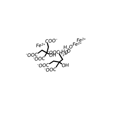 O.O.O.O=C([O-])CC(O)(CC(=O)[O-])C(=O)[O-].O=C([O-])CC(O)(CC(=O)[O-])C(=O)[O-].[Fe+2].[Fe+2].[Fe+2]